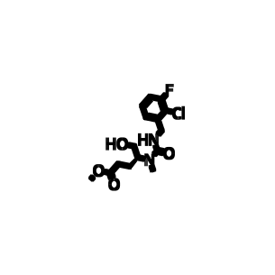 COC(=O)CC[C@@H](CO)N(C)C(=O)NCc1cccc(F)c1Cl